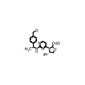 CC(C)[C@H]1COC(C=O)N1c1ccnc(N[C@@H](C)c2ccc(CCl)cc2)n1